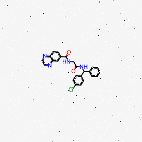 O=C(CNC(=O)c1ccc2nccnc2c1)NC(c1ccccc1)c1ccc(Cl)cc1